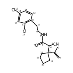 C=C(C)C1(C(C#N)C(=O)NCCc2ccc(Cl)cc2Cl)CCCC1